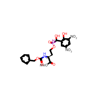 COC(=O)[C@H](CCO[PH](=O)C(O)c1cc([N+](=O)[O-])cc([N+](=O)[O-])c1O)NC(=O)OCc1ccccc1